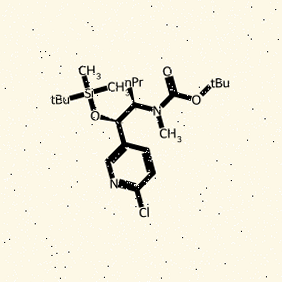 CCC[C@H]([C@H](O[Si](C)(C)C(C)(C)C)c1ccc(Cl)nc1)N(C)C(=O)OC(C)(C)C